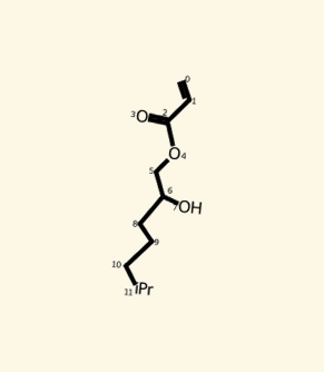 C=CC(=O)OCC(O)CCCC(C)C